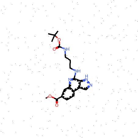 COC(=O)c1ccc2c(c1)nc(NCCCNC(=O)OC(C)(C)C)c1[nH]ncc12